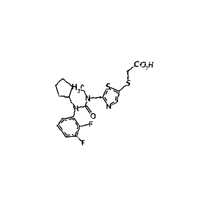 CN(C(=O)N(c1cccc(F)c1F)C1CCCC1)c1ncc(SCC(=O)O)s1